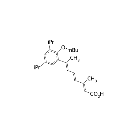 CCCCOc1c(/C(C)=C/C=C/C(C)=C/C(=O)O)cc(C(C)C)cc1C(C)C